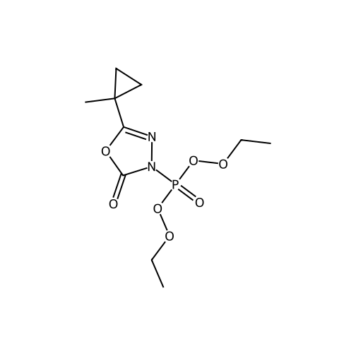 CCOOP(=O)(OOCC)n1nc(C2(C)CC2)oc1=O